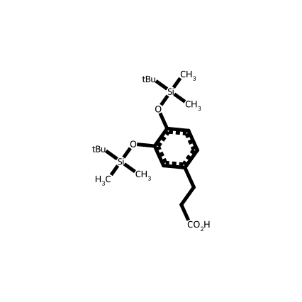 CC(C)(C)[Si](C)(C)Oc1ccc(CCC(=O)O)cc1O[Si](C)(C)C(C)(C)C